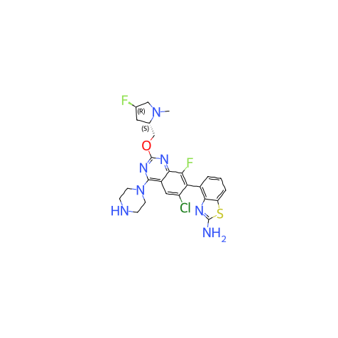 CN1C[C@H](F)C[C@H]1COc1nc(N2CCNCC2)c2cc(Cl)c(-c3cccc4sc(N)nc34)c(F)c2n1